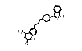 CC1CC(=O)Nc2ccc(CCCN3CCN(c4n[nH]c5ccccc45)CC3)cc21